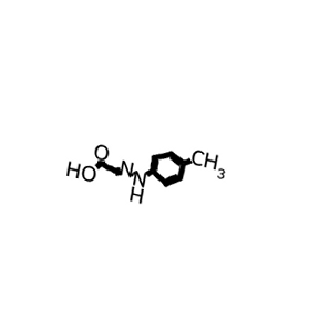 Cc1ccc(N/N=C/C(=O)O)cc1